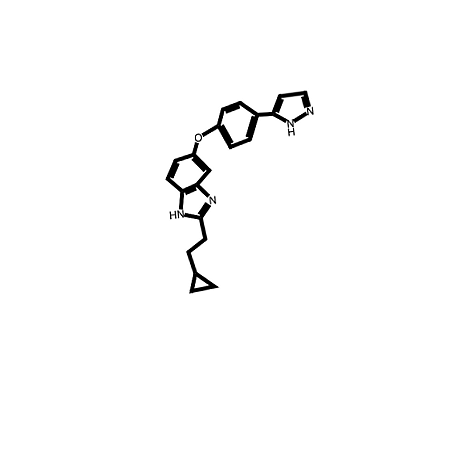 c1cc(-c2ccc(Oc3ccc4[nH]c(CCC5CC5)nc4c3)cc2)[nH]n1